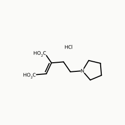 Cl.O=C(O)C=C(CCN1CCCC1)C(=O)O